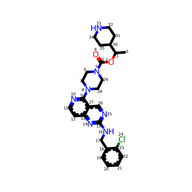 CC(OC(=O)N1CCN(c2nccc3nc(NCc4ccccc4Cl)ncc23)CC1)C1CCNCC1